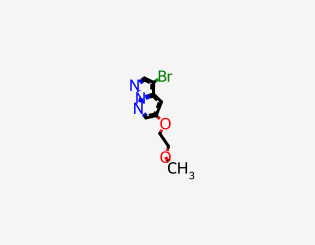 COCCOc1cnn2ncc(Br)c2c1